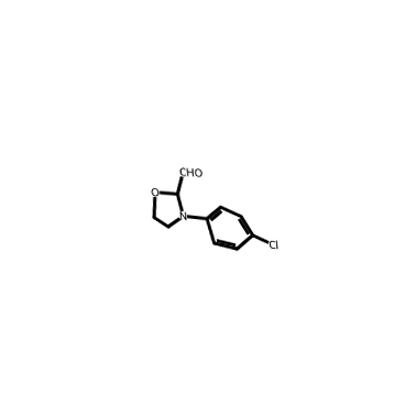 O=CC1OCCN1c1ccc(Cl)cc1